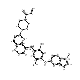 C=CC(=O)N1CCN(c2ccc3ncnc(Nc4cc(Cl)c(Oc5ccc6c(c5)nnn6C)cc4F)c3n2)CC1